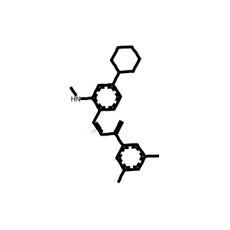 C=C(/C=C\c1ccc(C2CCCCC2)cc1NC)c1cc(C)cc(C)c1